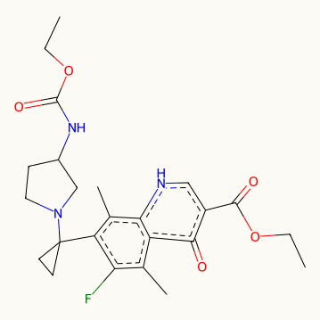 CCOC(=O)NC1CCN(C2(c3c(F)c(C)c4c(=O)c(C(=O)OCC)c[nH]c4c3C)CC2)C1